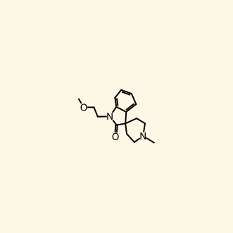 COCCN1C(=O)C2(CCN(C)CC2)c2ccccc21